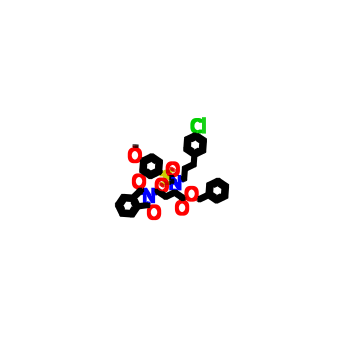 COc1ccc(S(=O)(=O)N(CCCc2ccc(Cl)cc2)C(CCN2C(=O)c3ccccc3C2=O)C(=O)OCc2ccccc2)cc1